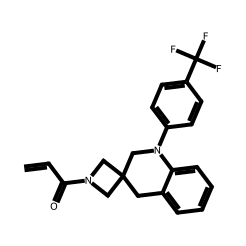 C=CC(=O)N1CC2(Cc3ccccc3N(c3ccc(C(F)(F)F)cc3)C2)C1